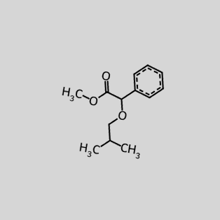 COC(=O)C(OCC(C)C)c1ccccc1